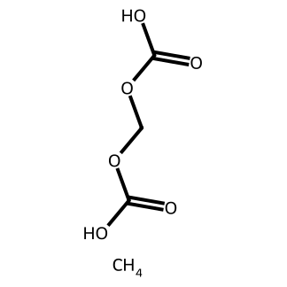 C.O=C(O)OCOC(=O)O